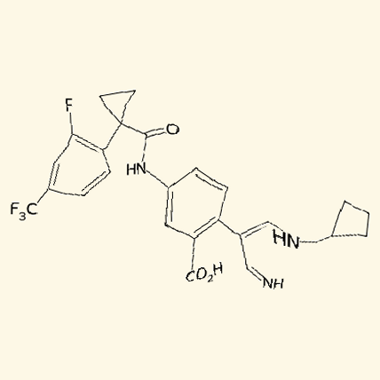 N=C/C(=C\NC1CCC1)c1ccc(NC(=O)C2(c3ccc(C(F)(F)F)cc3F)CC2)cc1C(=O)O